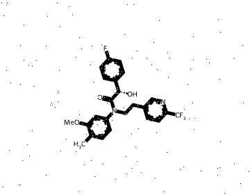 COc1cc(N(CCc2ccc(C(F)(F)F)nc2)C(=O)[C@@H](O)c2ccc(F)cc2)ccc1C